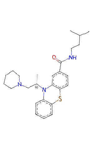 CC(C)CCNC(=O)c1ccc2c(c1)N([C@@H](C)CN1CCCCC1)c1ccccc1S2